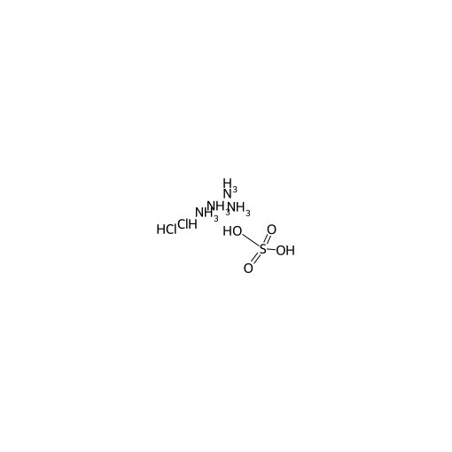 Cl.Cl.N.N.N.N.O=S(=O)(O)O